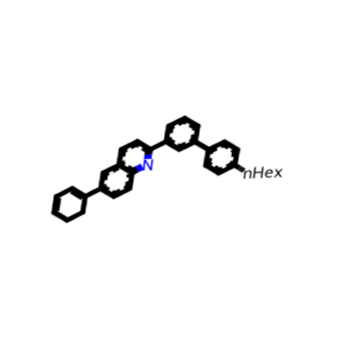 CCCCCCc1ccc(-c2cccc(-c3ccc4cc(C5=CC=CCC5)ccc4n3)c2)cc1